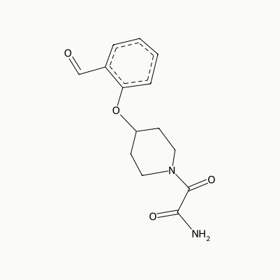 NC(=O)C(=O)N1CCC(Oc2ccccc2C=O)CC1